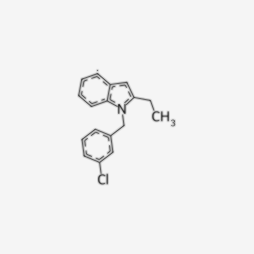 CCc1cc2[c]cccc2n1Cc1cccc(Cl)c1